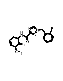 CC1C=CCC(NC(=O)c2ncn(Cc3ccccc3F)n2)C1=O